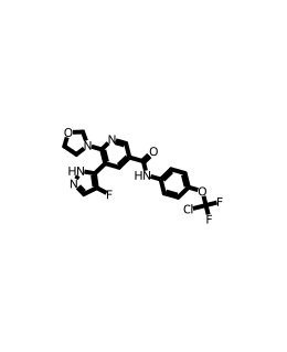 O=C(Nc1ccc(OC(F)(F)Cl)cc1)c1cnc(N2CCOC2)c(-c2[nH]ncc2F)c1